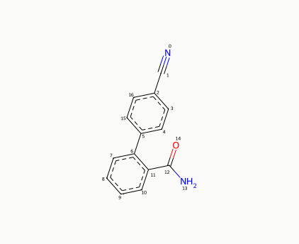 N#Cc1ccc(-c2cc[c]cc2C(N)=O)cc1